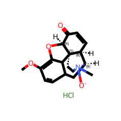 COC1=C2O[C@H]3C(=O)C=C[C@H]4[C@H]5CC(C=C1)C2[C@@]34CC[N+]5(C)[O-].Cl